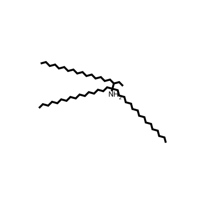 CCCCCCCCCCCCCCCCC(CC)C(N)(CCCCCCCCCCCCCCCC)CCCCCCCCCCCCCCCC